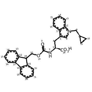 O=C(N[C@@H](Cc1cn(CC2CC2)c2ccccc12)C(=O)O)OCC1c2ccccc2-c2ccccc21